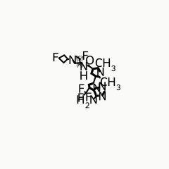 Cc1nc(C)c(-c2cc(C(F)(F)F)c3c(N)ncnn23)cc1C(=O)N[C@@H]1CN(C2CC(F)C2)C[C@@H]1F